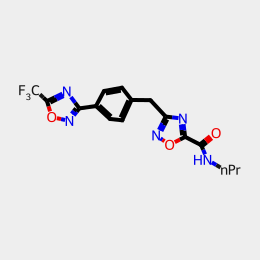 CCCNC(=O)c1nc(Cc2ccc(-c3noc(C(F)(F)F)n3)cc2)no1